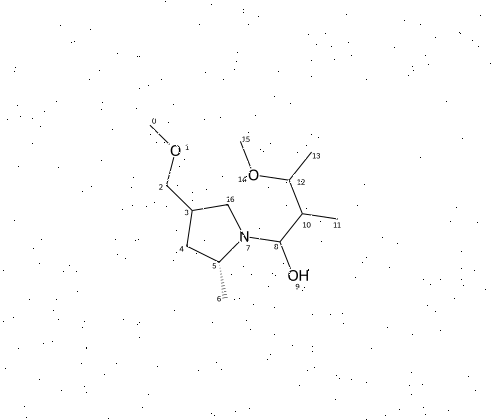 COCC1C[C@@H](C)N(C(O)C(C)C(C)OC)C1